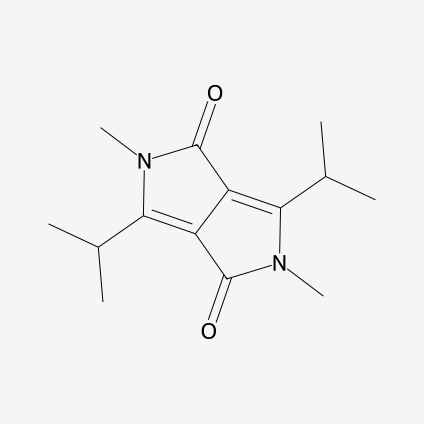 CC(C)C1=C2C(=O)N(C)C(C(C)C)=C2C(=O)N1C